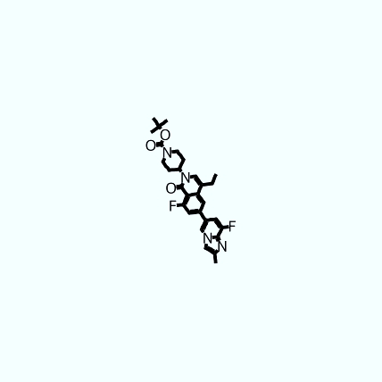 CCc1cn(C2CCN(C(=O)OC(C)(C)C)CC2)c(=O)c2c(F)cc(-c3cc(F)c4nc(C)cn4c3)cc12